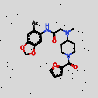 CC(=O)c1cc2c(cc1NC(=O)CN(C)C1CCN(C(=O)c3ccco3)CC1)OCO2